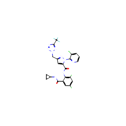 O=C(NC1CC1)c1cc(Cl)cc(Cl)c1NC(=O)c1cc(Cn2nnc(C(F)(F)F)n2)nn1-c1ncccc1Cl